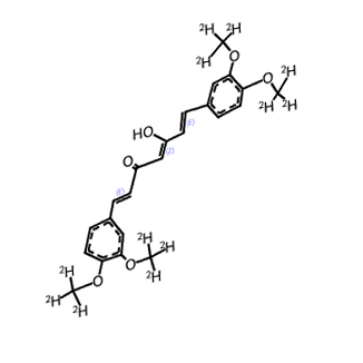 [2H]C([2H])([2H])Oc1ccc(/C=C/C(=O)/C=C(O)/C=C/c2ccc(OC([2H])([2H])[2H])c(OC([2H])([2H])[2H])c2)cc1OC([2H])([2H])[2H]